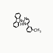 Cc1cccc(C2=CC=NC(n3c4ccccc4c4ccccc43)N2)c1